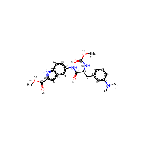 CC(=O)N(C)c1cccc(C[C@H](NC(=O)OC(C)(C)C)C(=O)Nc2ccc3[nH]c(C(=O)OC(C)(C)C)cc3c2)c1